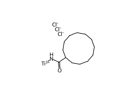 O=C([NH][Ti+3])C1CCCCCCCCCCC1.[Cl-].[Cl-].[Cl-]